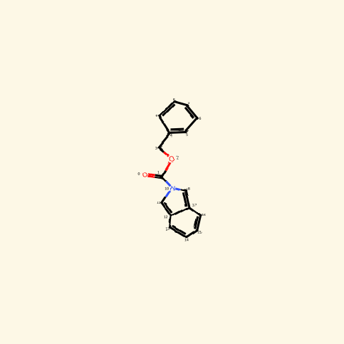 O=C(OCc1ccccc1)n1cc2ccccc2c1